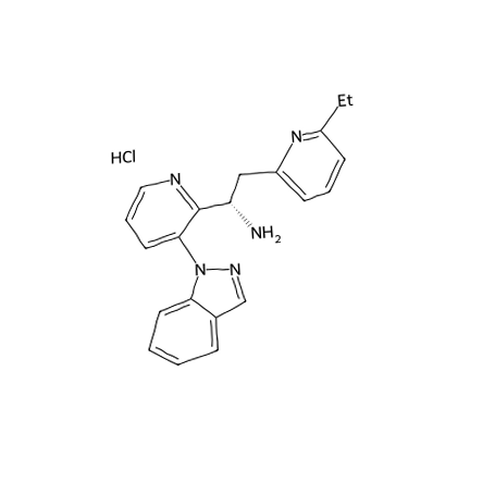 CCc1cccc(C[C@H](N)c2ncccc2-n2ncc3ccccc32)n1.Cl